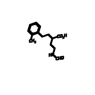 Cc1ccccc1CCC(CCNC=O)C(=O)O